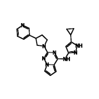 c1cncc(C2CCN(c3nc(Nc4cc(C5CC5)[nH]n4)c4cccn4n3)C2)c1